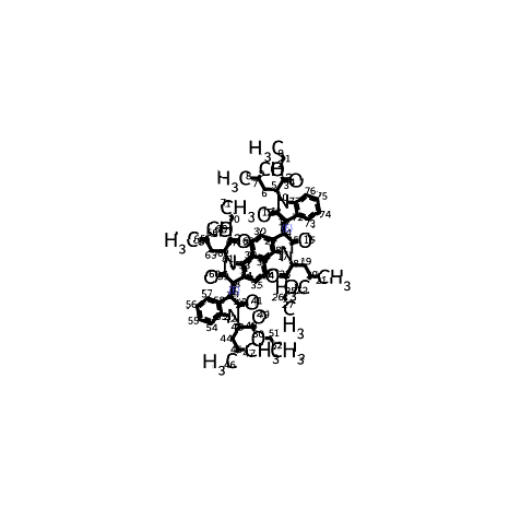 CCOC(=O)C(CC(C)C)N1C(=O)/C(=C2/C(=O)N(C(CC(C)C)C(=O)OCC)c3c2ccc2c4c(ccc32)/C(=C2\C(=O)N(C(CC(C)C)C(=O)OCC)c3ccccc32)C(=O)N4C(CC(C)C)C(=O)OCC)c2ccccc21